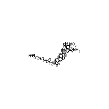 C[C@H](CCC(=O)OCCOCCOCCN=[N+]=[N-])C1CCC2C3CC[C@@H]4C[C@H](NC(=O)C(CCCCN)Nc5ccc([N+](=O)[O-])c6nonc56)CC[C@]4(C)C3CC[C@@]21C